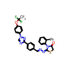 CC(C)c1ccccc1N1C(=O)CS/C1=N/N=Cc1ccc(-c2ncn(-c3ccc(OC(F)(F)C(F)(F)F)cc3)n2)cc1